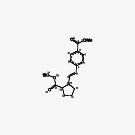 COC(=O)c1ccc(C=CN2CCCC2C(=O)OC(C)(C)C)cc1